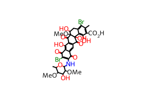 COC1C(C)OC(NC2=C(Br)C(=O)c3c(cc4c(c3O)C(=O)C3(OC)C(O)Cc5c(Br)c(C)c(C(=O)O)c(O)c5C3(O)C4=O)C2=O)C(OC)C1O